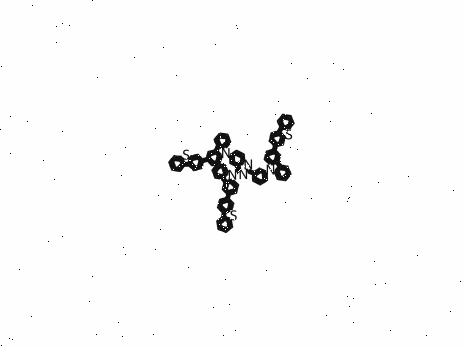 c1cc(-c2nc(-n3c4ccccc4c4cc(-c5ccc6c(c5)sc5ccccc56)ccc43)c3cc(-n4c5ccccc5c5cc(-c6ccc7c(c6)sc6ccccc67)ccc54)ccc3n2)cc(-n2c3ccccc3c3cc(-c4ccc5c(c4)sc4ccccc45)ccc32)c1